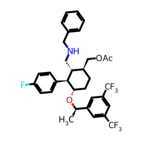 CC(=O)OC[C@H]1CC[C@H](O[C@H](C)c2cc(C(F)(F)F)cc(C(F)(F)F)c2)[C@@H](c2ccc(F)cc2)[C@@H]1CNCc1ccccc1